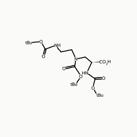 CC(C)(C)OC(=O)NCCN(C[C@@H](NC(=O)OC(C)(C)C)C(=O)O)C(=O)OC(C)(C)C